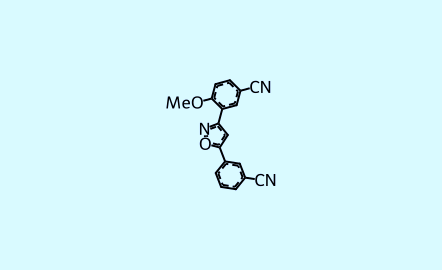 COc1ccc(C#N)cc1-c1cc(-c2cccc(C#N)c2)on1